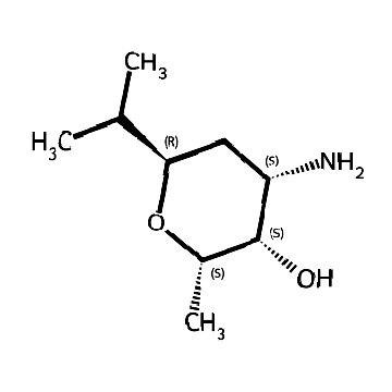 CC(C)[C@H]1C[C@H](N)[C@H](O)[C@H](C)O1